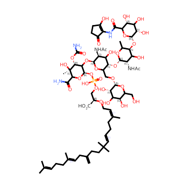 C=C(C/C=C(\C)CCC=C(C)C)CCC(C)(C)/C=C/CC/C(C)=C\CO[C@H](COP(=O)(O)O[C@H]1OC(C(N)=O)[C@@](C)(O)[C@H](OC(N)=O)C1O[C@@H]1OC(CO[C@@H]2OC(CO)[C@@H](O)C(O)[C@@H]2O)[C@@H](O[C@@H]2OC(C)[C@@H](O[C@@H]3OC(C(=O)NC4=C(O)CCC4=O)[C@H](O)C(O)[C@@H]3O)C(O)[C@@H]2NC(C)=O)C(O)[C@@H]1NC(C)=O)C(=O)O